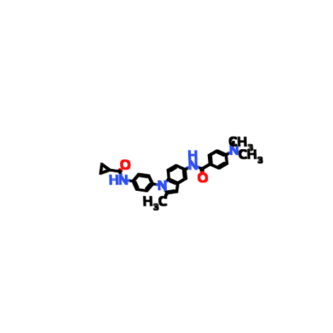 Cc1cc2cc(NC(=O)c3ccc(N(C)C)cc3)ccc2n1-c1ccc(NC(=O)C2CC2)cc1